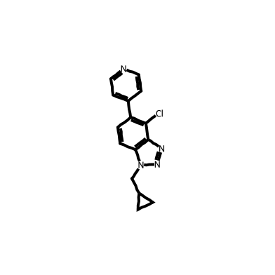 Clc1c(-c2ccncc2)ccc2c1nnn2CC1CC1